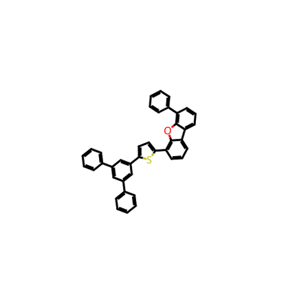 c1ccc(-c2cc(-c3ccccc3)cc(-c3ccc(-c4cccc5c4oc4c(-c6ccccc6)cccc45)s3)c2)cc1